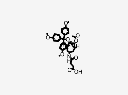 COc1ccc(C(O[C@H]2[C@@H](OC(C)=O)[C@@H]3CC(NC(=O)CCC(=O)O)C[C@H]2[N+]3(C)C)(c2ccc(OC)cc2)c2ccc(OC)cc2)cc1